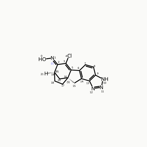 O/N=C1/C(Cl)=C2c3ccc4[nH]nnc4c3C[C@@]23CC[C@@H]1C3